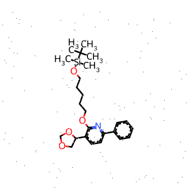 CC(C)(C)[Si](C)(C)OCCCCCOc1nc(-c2ccccc2)ccc1C1COCO1